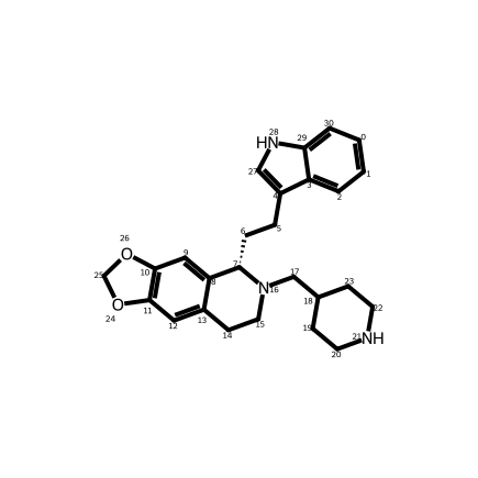 c1ccc2c(CC[C@H]3c4cc5c(cc4CCN3CC3CCNCC3)OCO5)c[nH]c2c1